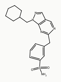 NS(=O)(=O)c1cccc(Cc2ncc3cnn(CC4CCCCC4)c3n2)c1